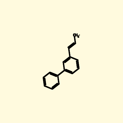 [CH2]C=Cc1cccc(-c2ccccc2)c1